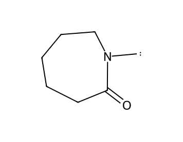 [CH]N1CCCCCC1=O